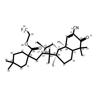 C[C@H](O)C[C@@H]1[C@@]2(C)C=C(C#N)C(=O)C(C)(C)C2CC[C@@]1(C)C(C)(C)CCC1(C(=O)OCC(F)(F)F)CCC(C)(C)CC1